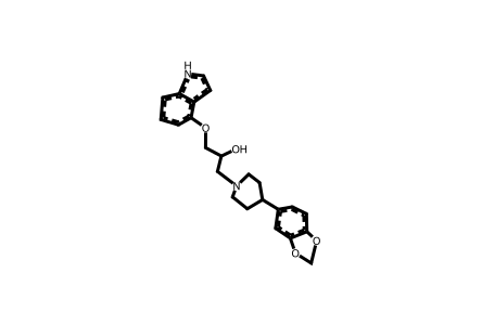 OC(COc1cccc2[nH]ccc12)CN1CCC(c2ccc3c(c2)OCO3)CC1